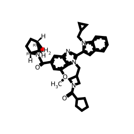 COc1cc(C(=O)N2C[C@H]3CC[C@@H]2[C@@H]3N)cc2nc(-c3cc4ccccc4n3CC3CC3)n(CC3CN(C(=O)C4CCCC4)C3)c12